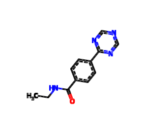 CCNC(=O)c1ccc(-c2ncncn2)cc1